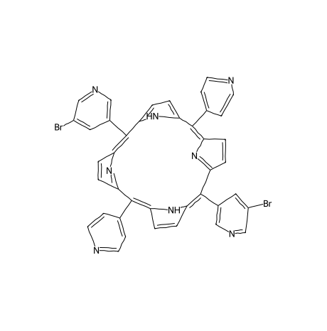 Brc1cncc(-c2c3nc(c(-c4ccncc4)c4ccc([nH]4)c(-c4cncc(Br)c4)c4nc(c(-c5ccncc5)c5ccc2[nH]5)C=C4)C=C3)c1